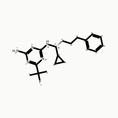 CC(C)(F)c1nc(N)nc(N[C@H](CCCc2ccccc2)C2CC2)n1